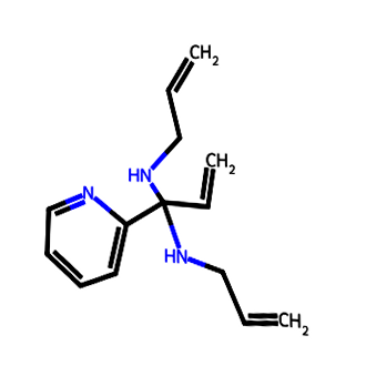 C=CCNC(C=C)(NCC=C)c1ccccn1